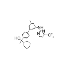 Cc1cc(Nc2nccc(C(F)(F)F)n2)cc(-c2ccc(C(C)(O)C3CCCCC3)cc2)c1